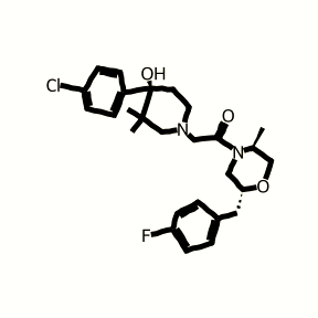 C[C@H]1CO[C@H](Cc2ccc(F)cc2)CN1C(=O)CN1CC[C@@](O)(c2ccc(Cl)cc2)C(C)(C)C1